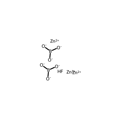 F.[O-]B([O-])[O-].[O-]B([O-])[O-].[Zn+2].[Zn+2].[Zn+2]